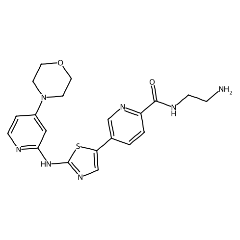 NCCNC(=O)c1ccc(-c2cnc(Nc3cc(N4CCOCC4)ccn3)s2)cn1